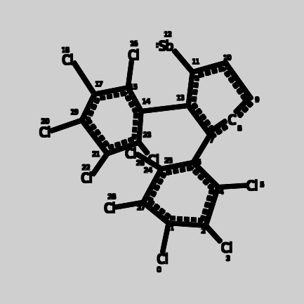 Clc1c(Cl)c(Cl)c(-c2ccc[c]([Sb])c2-c2c(Cl)c(Cl)c(Cl)c(Cl)c2Cl)c(Cl)c1Cl